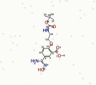 COC(=O)c1cc(C(N)=NO)ccc1OCCNC(=O)OC(C)(C)C